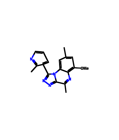 COc1cc(C)cc2c1nc(C)c1nnc(-c3cccnc3C)n12